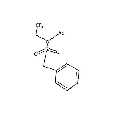 CC(=O)N(CC(F)(F)F)S(=O)(=O)Cc1ccccc1